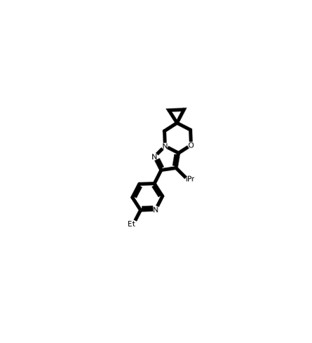 CCc1ccc(-c2nn3c(c2C(C)C)OCC2(CC2)C3)cn1